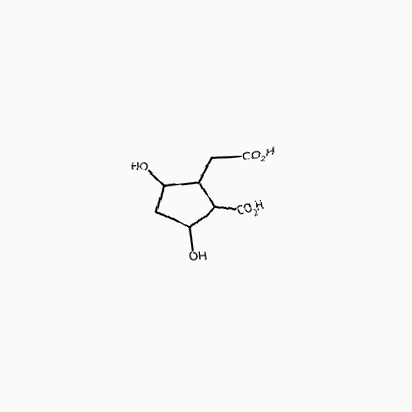 O=C(O)CC1C(O)CC(O)C1C(=O)O